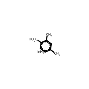 Cc1ccc(C(=O)O)c(C)c1.[InH3]